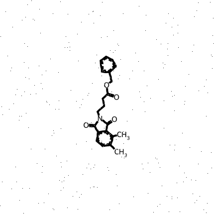 Cc1ccc2c(c1C)C(=O)N(CCCC(=O)OCc1ccccc1)C2=O